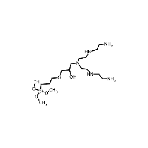 CO[Si](CCCOCC(O)CN(CCNCCN)CCNCCN)(OC)OC